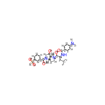 CC(C)C[C@H](NC(=O)c1ccc(N(C)C)cc1)C(=O)N1CC[C@@H]2[C@H]1C(=O)CN2C(=O)c1cccc(S(C)(=O)=O)c1